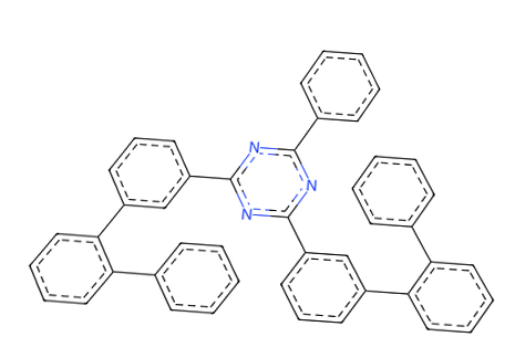 c1ccc(-c2nc(-c3cccc(-c4ccccc4-c4ccccc4)c3)nc(-c3cccc(-c4ccccc4-c4ccccc4)c3)n2)cc1